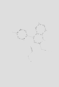 CC(C)c1nc2ccccc2c(-c2ccc(F)cc2)c1/C=C/CO